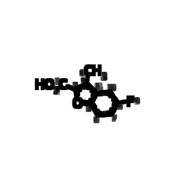 Cc1c(C(=O)O)oc2ccc(F)cc12